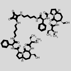 CC[C@H](NC)C(=O)N[C@@H]1C(=O)N2[C@@H](CC[C@@H]1CO)CC[C@H]2C(=O)N[C@H](C(=O)NCCCCNc1c(NCCCCNC(=O)[C@@H](NC(=O)[C@@H]2CC[C@@H]3CC[C@H](CO)[C@H](NC(=O)[C@H](CC)NC)C(=O)N32)c2ccccc2)c(=O)c1=O)c1ccccc1